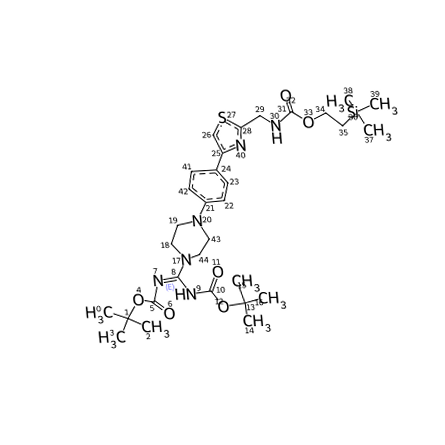 CC(C)(C)OC(=O)/N=C(\NC(=O)OC(C)(C)C)N1CCN(c2ccc(-c3csc(CNC(=O)OCC[Si](C)(C)C)n3)cc2)CC1